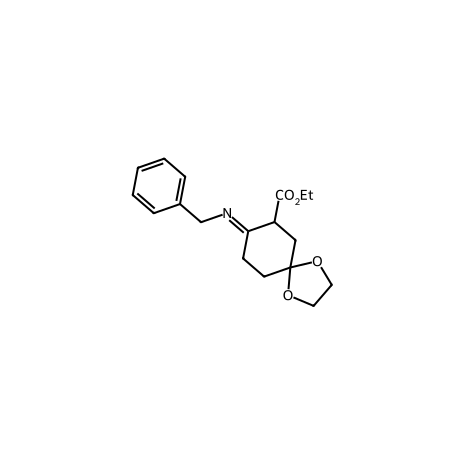 CCOC(=O)C1CC2(CC/C1=N\Cc1ccccc1)OCCO2